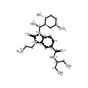 CC(C)[C@@H]1CC[C@@H](C)C[C@H]1[C@H](O)n1c(=O)n(CCN)c2cc(C(=O)NC(CO)CO)ccc21